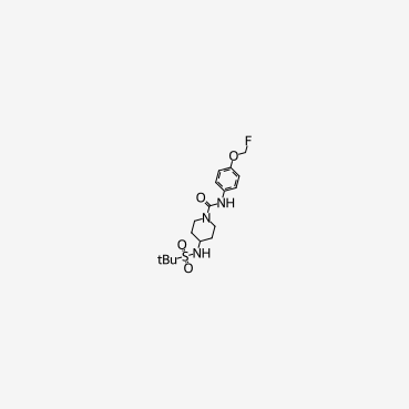 CC(C)(C)S(=O)(=O)NC1CCN(C(=O)Nc2ccc(OCF)cc2)CC1